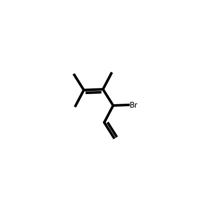 C=CC(Br)C(C)=C(C)C